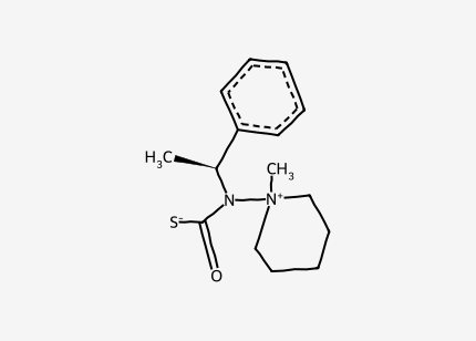 C[C@@H](c1ccccc1)N(C(=O)[S-])[N+]1(C)CCCCC1